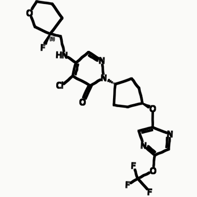 O=c1c(Cl)c(NC[C@@]2(F)CCCOC2)cnn1[C@H]1CC[C@H](Oc2cnc(OC(F)(F)F)cn2)CC1